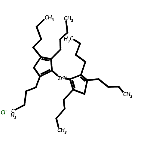 CCCCC1=C(CCCC)[C]([Zr+2][C]2=C(CCCC)CC(CCCC)=C2CCCC)=C(CCCC)C1.[Cl-].[Cl-]